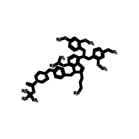 CCCCc1nc2c(N(Cc3ccc(OC)cc3OC)Cc3ccc(OC)cc3OC)nnc(OC(C)C)c2n1Cc1ccc(CN2CCN(C(=O)OC(C)(C)C)CC2)cc1